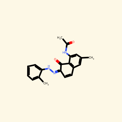 CC(=O)Nc1cc(C)cc2c1C(=O)/C(=N\Nc1ccccc1C)C=C2